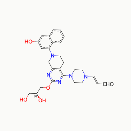 O=CC=CN1CCN(c2nc(OC[C@@H](O)CO)nc3c2CCN(c2cc(O)cc4ccccc24)C3)CC1